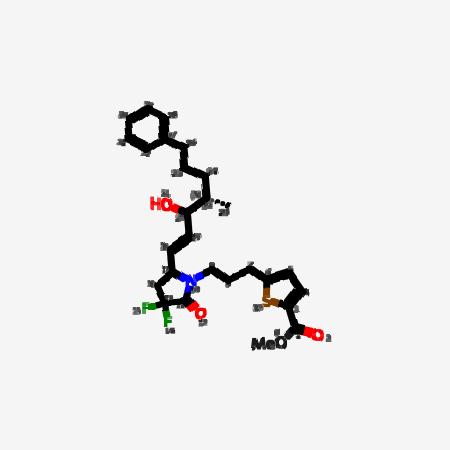 COC(=O)c1ccc(CCCN2C(=O)C(F)(F)CC2C=CC(O)[C@@H](C)CCCc2ccccc2)s1